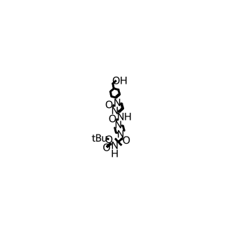 CC(C)(C)OC(=O)NC(C)(C)C(=O)N1CCN(C(=O)Nc2ccn(C3=CCC(CO)CC3)c(=O)n2)CC1